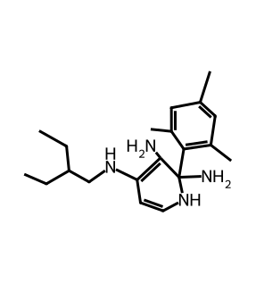 CCC(CC)CNC1=C(N)C(N)(c2c(C)cc(C)cc2C)NC=C1